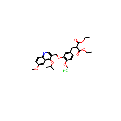 CCOC(=O)C(Cc1ccc(OC)c(OCc2cnc3ccc(OC)cc3c2OC(C)C)c1)C(=O)OCC.Cl